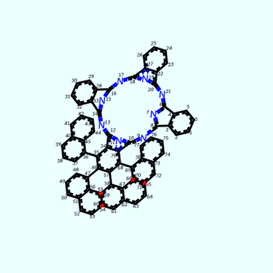 c1ccc2c(c1)-c1nc-2nc2[nH]c(nc3nc(nc4[nH]c(n1)c1ccccc41)-c1ccccc1-3)c1c(-c3cccc4ccccc34)c(-c3cccc4ccccc34)c(-c3cccc4ccccc34)c(-c3cccc4ccccc34)c21